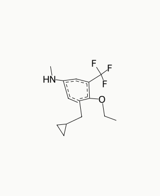 CCOc1c(CC2CC2)cc(NC)cc1C(F)(F)F